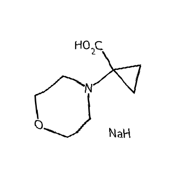 O=C(O)C1(N2CCOCC2)CC1.[NaH]